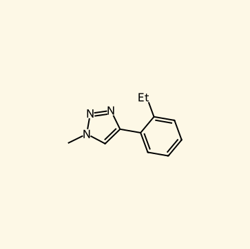 [CH2]Cc1ccccc1-c1cn(C)nn1